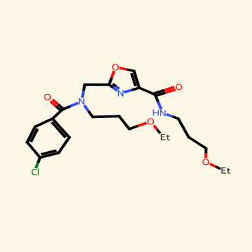 CCOCCCNC(=O)c1coc(CN(CCCOCC)C(=O)c2ccc(Cl)cc2)n1